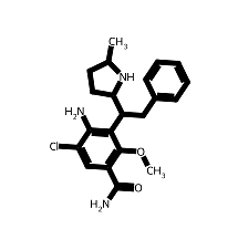 COc1c(C(N)=O)cc(Cl)c(N)c1C(Cc1ccccc1)C1CCC(C)N1